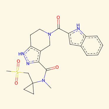 CN(C(=O)c1n[nH]c2c1CN(C(=O)c1cc3ccccc3[nH]1)CC2)C1(CS(C)(=O)=O)CC1